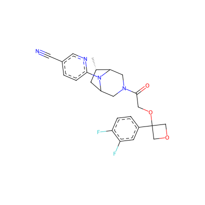 C[C@H]1CC2CN(C(=O)COC3(c4ccc(F)c(F)c4)COC3)CC1N2c1ccc(C#N)cn1